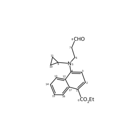 CCOC(=O)c1ccc(N(CCC=O)C2CC2)c2ccccc12